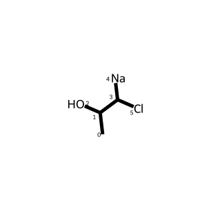 CC(O)[CH]([Na])Cl